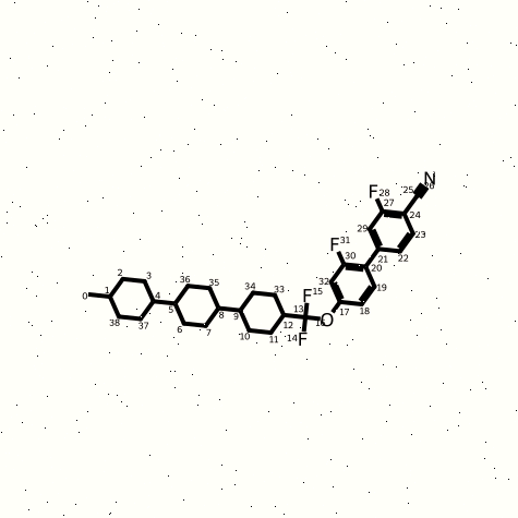 CC1CCC(C2CCC(C3CCC(C(F)(F)Oc4ccc(-c5ccc(C#N)c(F)c5)c(F)c4)CC3)CC2)CC1